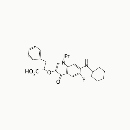 CC(C)n1cc(O[C@@H](Cc2ccccc2)C(=O)O)c(=O)c2cc(F)c(NC3CCCCC3)cc21